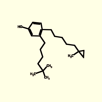 CC(C)(C)CCCCc1cc(O)ccc1CCCCCC1(C)CC1